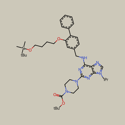 CC(C)n1cnc2c(NCc3ccc(-c4ccccc4)c(OCCCCO[Si](C)(C)C(C)(C)C)c3)nc(N3CCN(C(=O)OC(C)(C)C)CC3)nc21